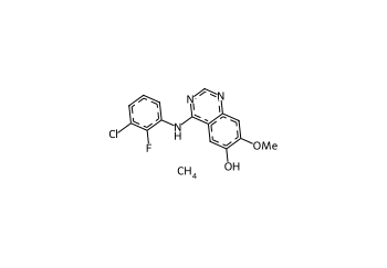 C.COc1cc2ncnc(Nc3cccc(Cl)c3F)c2cc1O